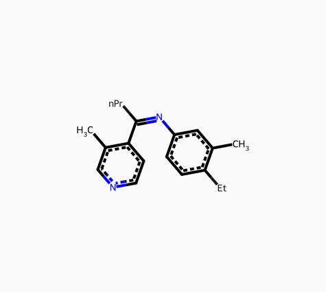 CCC/C(=N/c1ccc(CC)c(C)c1)c1ccncc1C